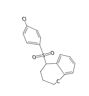 O=S(=O)(c1ccc(Cl)cc1)C1CCCCc2ccccc21